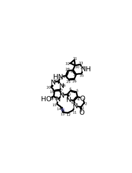 O=C1COc2ccc3nc2N1CC/C=C/CN1C(O)c2cnc(Nc4ccc5c(c4)C4(CC4)CNC5)nc2N31